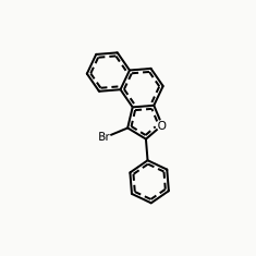 Brc1c(-c2ccccc2)oc2ccc3ccccc3c12